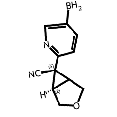 Bc1ccc([C@]2(C#N)C3COC[C@H]32)nc1